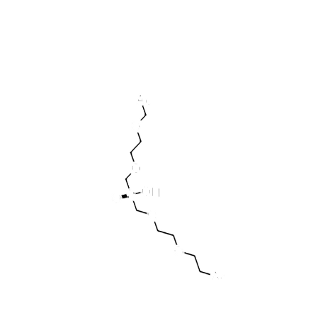 CC(=O)CCOCCOCP(=O)(O)COCCOCC(C)=O